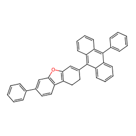 C1=C(c2c3ccccc3c(-c3ccccc3)c3ccccc23)CCc2c1oc1cc(-c3ccccc3)ccc21